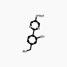 CCCCCCCc1cnc(-c2ccc(CC(C)CC)cc2S)nc1